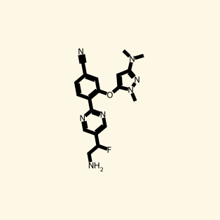 CN(C)c1cc(Oc2cc(C#N)ccc2-c2ncc(C(F)CN)cn2)n(C)n1